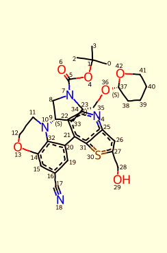 CC(C)(C)OC(=O)N1C[C@@H](N2CCOc3cc(C#N)cc(-c4ccnc5cc(CO)sc45)c32)C[C@H]1CO[C@H]1CCCCO1